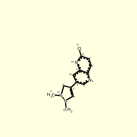 CN1C=C(c2cnc3ccc(Cl)nc3c2)CN1C